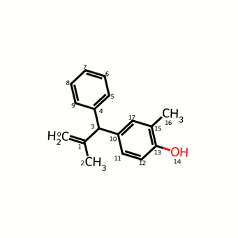 C=C(C)C(c1ccccc1)c1ccc(O)c(C)c1